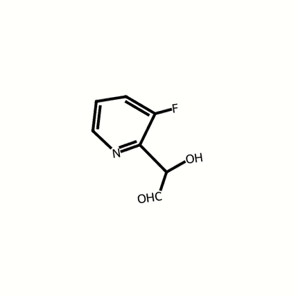 O=CC(O)c1ncccc1F